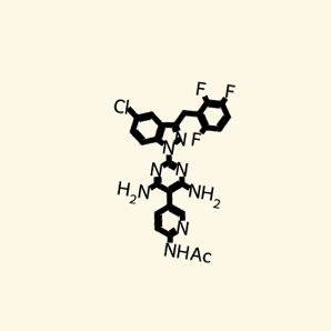 CC(=O)Nc1ccc(-c2c(N)nc(-n3nc(Cc4c(F)ccc(F)c4F)c4cc(Cl)ccc43)nc2N)cn1